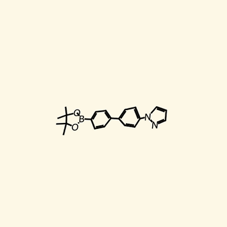 CC1(C)OB(c2ccc(-c3ccc(-n4cccn4)cc3)cc2)OC1(C)C